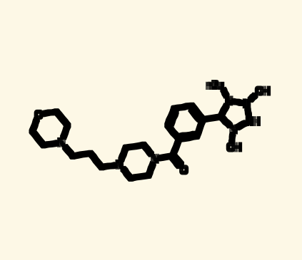 CCCCN1C(c2cccc(C(=O)N3CCN(CCCN4CCOCC4)CC3)c2)N(O)NN1O